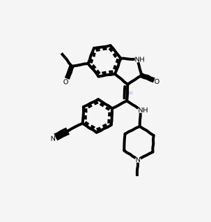 CC(=O)c1ccc2c(c1)/C(=C(/NC1CCN(C)CC1)c1ccc(C#N)cc1)C(=O)N2